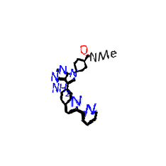 CNC(=O)C1CCC(n2cc(-c3ccc4ccc(-c5ccccn5)nc4c3)c3c(N)ncnc32)CC1